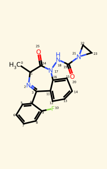 CC1N=C(c2ccccc2F)c2ccccc2N(NC(=O)N2CC2)C1=O